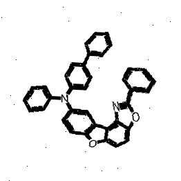 c1ccc(-c2ccc(N(c3ccccc3)c3ccc4oc5ccc6oc(-c7ccccc7)nc6c5c4c3)cc2)cc1